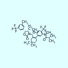 COc1cc(C(F)(F)F)c(N(C)C(=O)C(C)C)cc1C1=C(CN2C(=O)O[C@H](c3cc(C)cc(C(F)(F)F)c3)[C@@H]2C)CC(C)(C)CC1